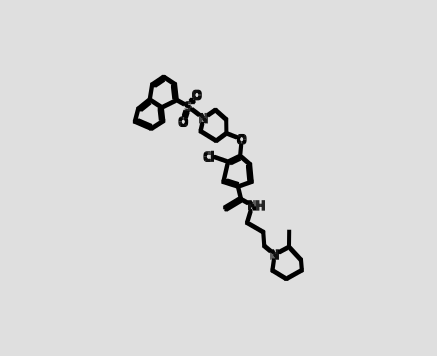 C=C(NCCCN1CCCCC1C)c1ccc(OC2CCN(S(=O)(=O)c3cccc4ccccc34)CC2)c(Cl)c1